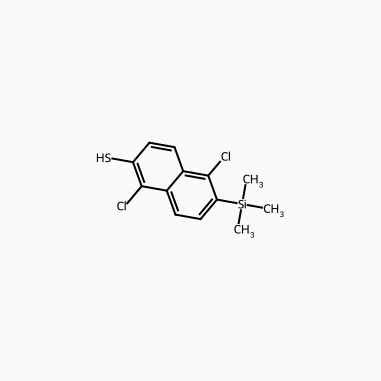 C[Si](C)(C)c1ccc2c(Cl)c(S)ccc2c1Cl